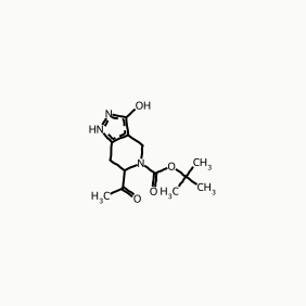 CC(=O)C1Cc2[nH]nc(O)c2CN1C(=O)OC(C)(C)C